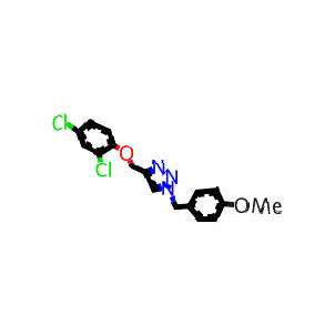 COc1ccc(Cn2cc(COc3ccc(Cl)cc3Cl)nn2)cc1